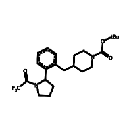 CC(C)(C)OC(=O)N1CCC(Cc2ccccc2C2CCCN2C(=O)C(F)(F)F)CC1